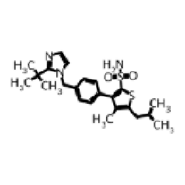 Cc1c(CC(C)C)sc(S(N)(=O)=O)c1-c1ccc(Cn2ccnc2C(C)(C)C)cc1